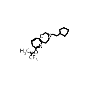 C[C@@H](OC1=NC2=C(C=CC1)CCN(CCC1CCCCC1)CC2)C(F)(F)F